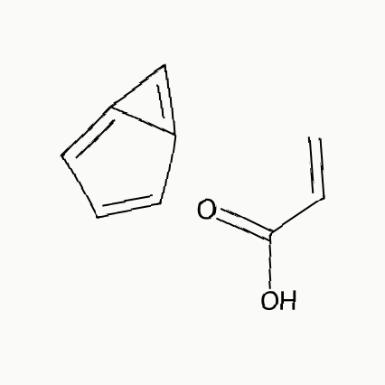 C=CC(=O)O.c1cc2cc-2c1